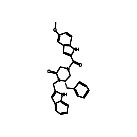 COc1ccc2[nH]c(C(=O)N3CC(=O)N(Cc4cc5ccccc5[nH]4)[C@@H](Cc4ccccc4)C3)cc2c1